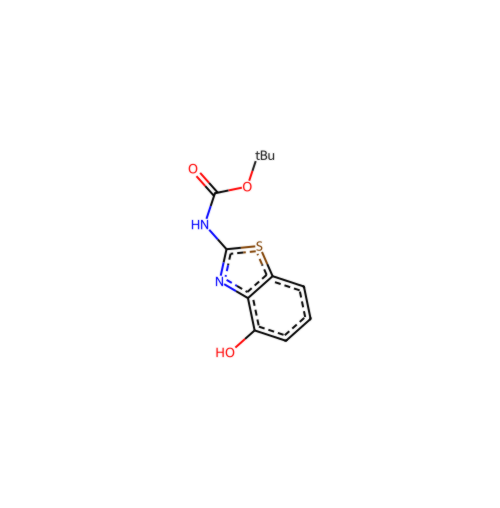 CC(C)(C)OC(=O)Nc1nc2c(O)cccc2s1